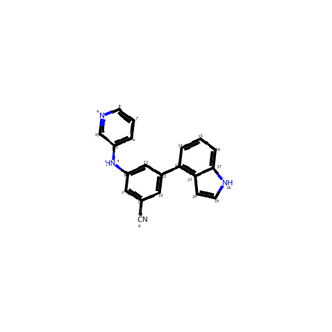 N#Cc1cc(Nc2cccnc2)cc(-c2cccc3[nH]ccc23)c1